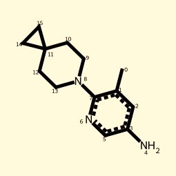 Cc1cc(N)cnc1N1CCC2(CC1)CC2